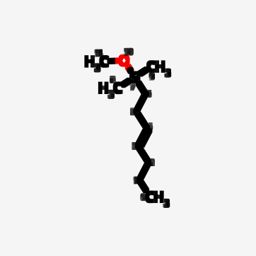 CCCC=CCC[Si](C)(C)OC